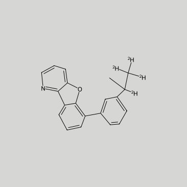 [2H]C([2H])([2H])C([2H])(C)c1cccc(-c2cccc3c2oc2cccnc23)c1